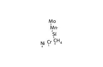 C.[Cr].[Mn].[Mo].[Ni].[Si]